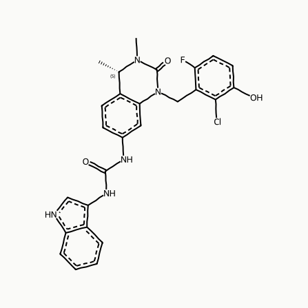 C[C@H]1c2ccc(NC(=O)Nc3c[nH]c4ccccc34)cc2N(Cc2c(F)ccc(O)c2Cl)C(=O)N1C